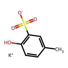 Cc1ccc(O)c(S(=O)(=O)[O-])c1.[K+]